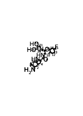 Nc1cc2cc(C(=O)N[C@@H](Cc3ccc(F)cc3)C(=O)N3C[C@@H](O)[C@H](O)C3)[nH]c2cn1